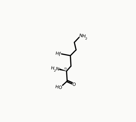 NCC[CH]([Hf])C[C@H](N)C(=O)O